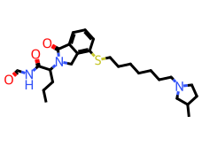 CCCC(C(=O)NC=O)N1Cc2c(SCCCCCCCN3CCC(C)C3)cccc2C1=O